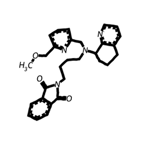 COCc1cccc(CN(CCCCN2C(=O)c3ccccc3C2=O)C2CCCc3cccnc32)n1